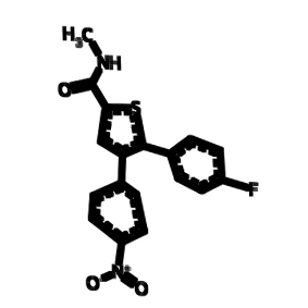 CNC(=O)c1cc(-c2ccc([N+](=O)[O-])cc2)c(-c2ccc(F)cc2)s1